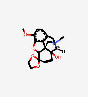 COc1ccc2c3c1OC1C4(C=CC5(O)[C@@H](C2)N(C)CC[C@]315)OCCO4